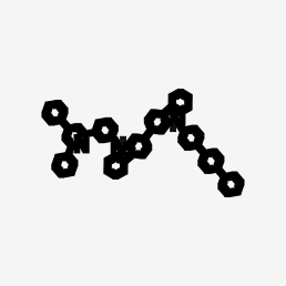 c1ccc(-c2ccc(-c3ccc(-n4c5ccccc5c5ccc(-c6ccc7c8ccccc8n(-c8cccc(-c9cc(-c%10ccccc%10)cc(-c%10ccccc%10)n9)c8)c7c6)cc54)cc3)cc2)cc1